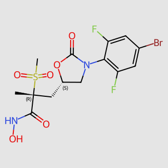 C[C@@](C[C@H]1CN(c2c(F)cc(Br)cc2F)C(=O)O1)(C(=O)NO)S(C)(=O)=O